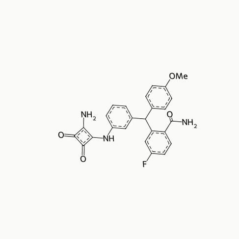 COc1ccc(C(c2cccc(Nc3c(N)c(=O)c3=O)c2)c2cc(F)ccc2C(N)=O)cc1